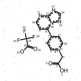 O=C(O)C[n+]1ccc(-c2ccnc3ncnn23)cc1.O=C([O-])C(F)(F)F